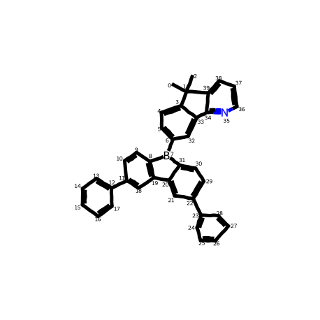 CC1(C)c2ccc(B3c4ccc(-c5ccccc5)cc4-c4cc(-c5ccccc5)ccc43)cc2-c2ncccc21